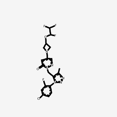 Cc1nnn(-c2ccc(Cl)cc2F)c1Cn1ncc(N2CC(OC(F)C(F)F)C2)cc1=O